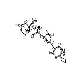 O=C(N[C@H]1CN2CCC1CC2)c1ccc(-c2ccc(Cl)nc2)s1